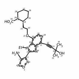 CCn1c(-c2nonc2N)nc2c(C#CC(C)(C)O)ncc(OCC[C@@H]3CCCCN3C(=O)O)c21